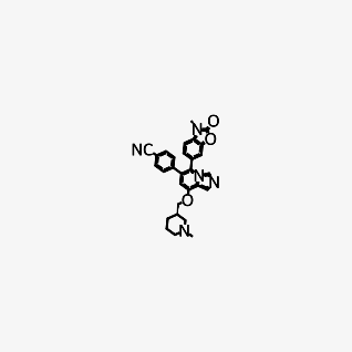 CN1CCC[C@@H](COc2cc(-c3ccc(C#N)cc3)c(-c3ccc4c(c3)oc(=O)n4C)n3cncc23)C1